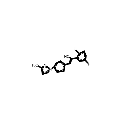 N#C/C(=C\c1ccc(-n2ccc(C(F)(F)F)n2)cc1)c1cc(F)ccc1F